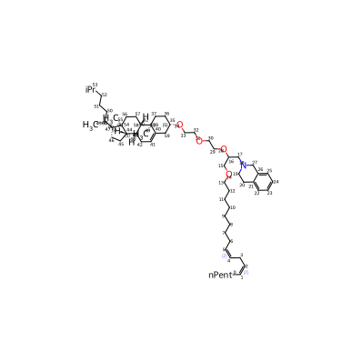 CCCCC/C=C\C/C=C\CCCCCCCCOCC(CN1CCc2ccccc2C1)OCCOCCO[C@H]1CC[C@@]2(C)C(=CC[C@H]3[C@@H]4CC[C@H]([C@H](C)CCCC(C)C)[C@@]4(C)CC[C@@H]32)C1